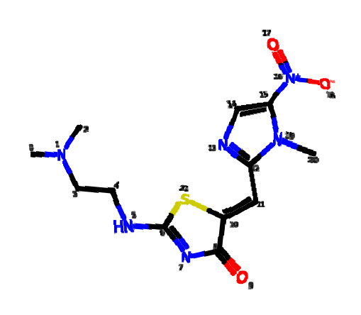 CN(C)CCNC1=NC(=O)/C(=C/c2ncc([N+](=O)[O-])n2C)S1